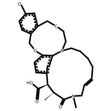 C[C@H]1C(=O)N(C)C/C=C/CCCCN2CCCCc3cc(Cl)ccc3COc3ccc(cc32)[C@@H]1C(=O)O